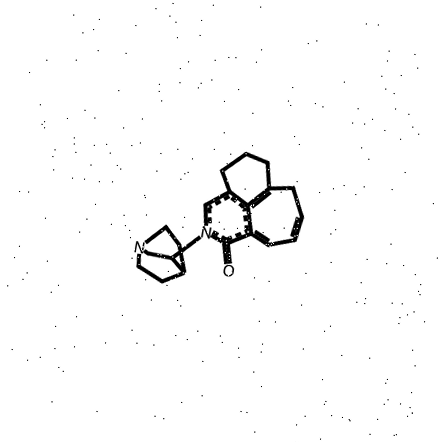 O=c1c2c3c(cn1C1CN4CCC1CC4)CCCC=3CC=CC=2